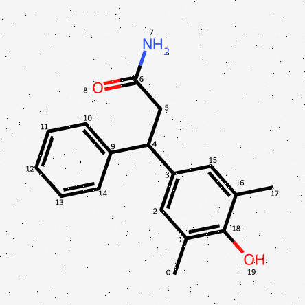 Cc1cc(C(CC(N)=O)c2ccccc2)cc(C)c1O